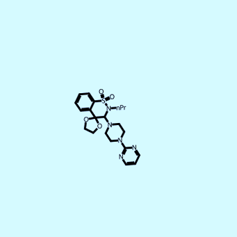 CCCN1C(N2CCN(c3ncccn3)CC2)C2(OCCO2)c2ccccc2S1(=O)=O